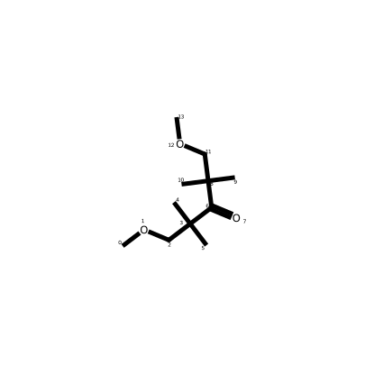 COCC(C)(C)C(=O)C(C)(C)COC